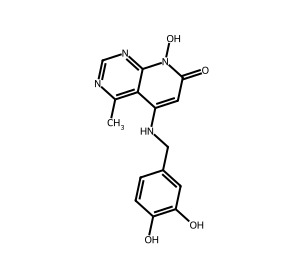 Cc1ncnc2c1c(NCc1ccc(O)c(O)c1)cc(=O)n2O